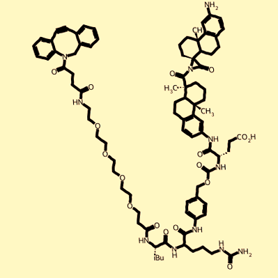 CCC(C)[C@H](NC(=O)CCOCCOCCOCCOCCNC(=O)CCC(=O)N1Cc2ccccc2C#Cc2ccccc21)C(=O)NC(CCCNC(N)=O)C(=O)Nc1ccc(COC(=O)N[C@@H](CCC(=O)O)C(=O)Nc2ccc3c(c2)[C@@]2(C)CCC[C@](C)(C(=O)N4C(=O)[C@]45CCC[C@]4(C)c6cc(N)ccc6CCC54)C2CC3)cc1